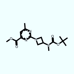 COC(=O)c1cc(C)nc(N2CC(N(C)C(=O)OC(C)(C)C)C2)n1